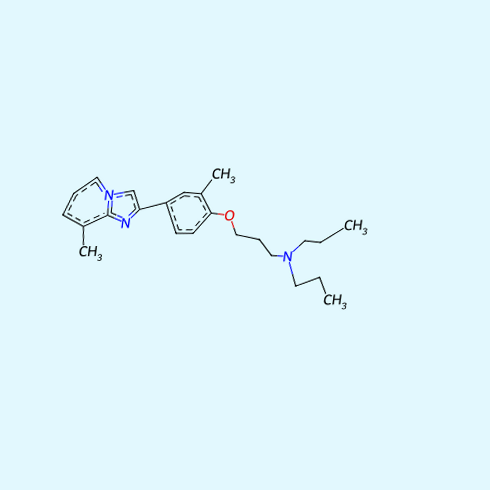 CCCN(CCC)CCCOc1ccc(-c2cn3cccc(C)c3n2)cc1C